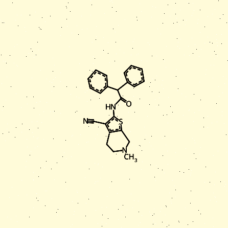 CN1CCc2c(sc(NC(=O)C(c3ccccc3)c3ccccc3)c2C#N)C1